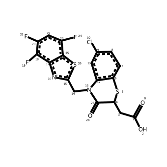 O=C(O)CC1Sc2ccc(Cl)cc2N(Cc2nc3c(F)c(F)cc(F)c3s2)C1=O